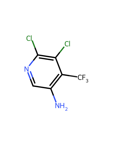 Nc1cnc(Cl)c(Cl)c1C(F)(F)F